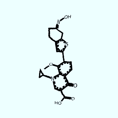 COc1c(-c2cc3c(s2)CC(=NO)CC3)ccc2c(=O)c(C(=O)O)cn(C3CC3)c12